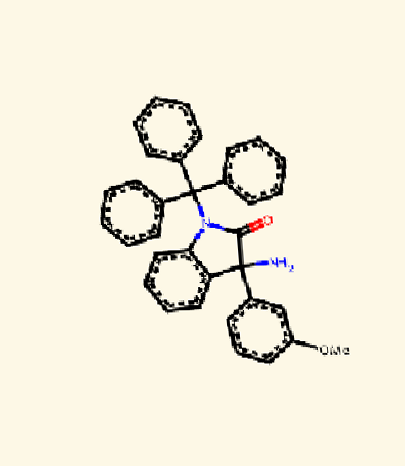 COc1cccc(C2(N)C(=O)N(C(c3ccccc3)(c3ccccc3)c3ccccc3)c3ccccc32)c1